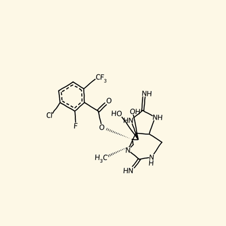 C[C@H]1[C@H](OC(=O)c2c(C(F)(F)F)ccc(Cl)c2F)C(O)(O)C23NC(=N)NC2CNC(=N)N13